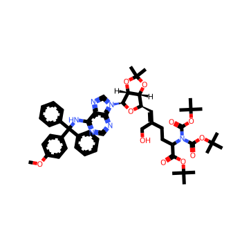 COc1ccc(C(Nc2ncnc3c2ncn3[C@@H]2O[C@H](C=C(CO)CCC(C(=O)OC(C)(C)C)N(C(=O)OC(C)(C)C)C(=O)OC(C)(C)C)[C@H]3OC(C)(C)O[C@H]32)(c2ccccc2)c2ccccc2)cc1